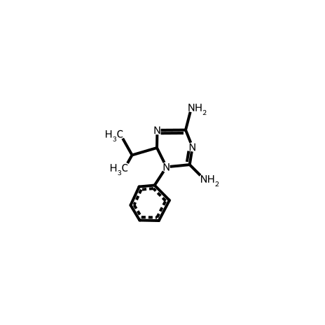 CC(C)C1N=C(N)N=C(N)N1c1ccccc1